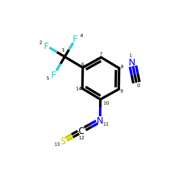 C#N.FC(F)(F)c1cccc(N=C=S)c1